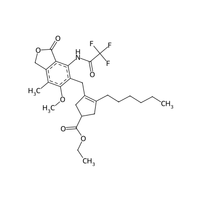 CCCCCCC1=C(Cc2c(NC(=O)C(F)(F)F)c3c(c(C)c2OC)COC3=O)CC(C(=O)OCC)C1